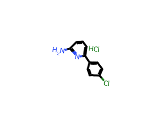 Cl.Nc1cccc(-c2ccc(Cl)cc2)n1